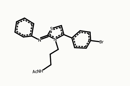 CC(=O)NCCCn1c(-c2ccc(Br)cc2)csc1=Nc1ccccc1